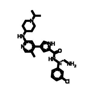 Cc1cnc(NC2CCN(C(C)C)CC2)cc1-c1c[nH]c(C(=O)N[C@H](CN)c2cccc(Cl)c2)c1